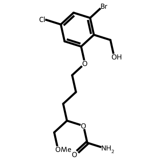 COCC(CCCOc1cc(Cl)cc(Br)c1CO)OC(N)=O